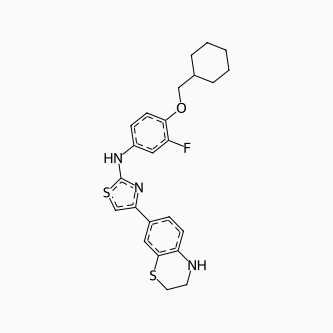 Fc1cc(Nc2nc(-c3ccc4c(c3)SCCN4)cs2)ccc1OCC1CCCCC1